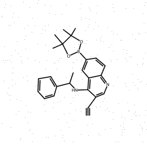 C#Cc1cnc2ccc(B3OC(C)(C)C(C)(C)O3)cc2c1NC(C)c1ccccc1